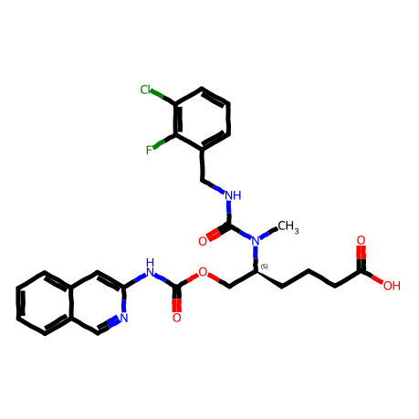 CN(C(=O)NCc1cccc(Cl)c1F)[C@@H](CCCC(=O)O)COC(=O)Nc1cc2ccccc2cn1